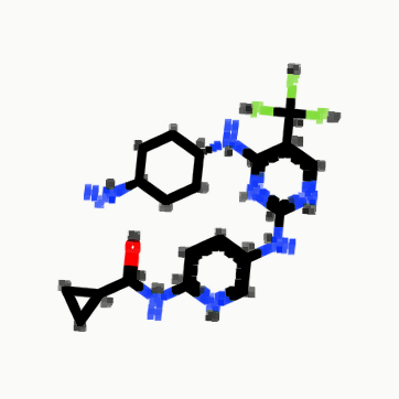 N[C@H]1CC[C@H](Nc2nc(Nc3ccc(NC(=O)C4CC4)nc3)ncc2C(F)(F)F)CC1